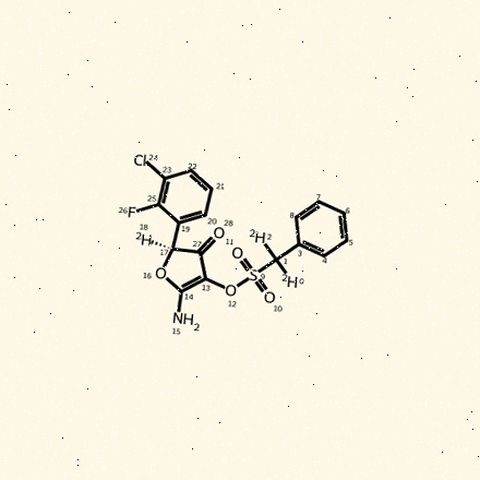 [2H]C([2H])(c1ccccc1)S(=O)(=O)OC1=C(N)O[C@@]([2H])(c2cccc(Cl)c2F)C1=O